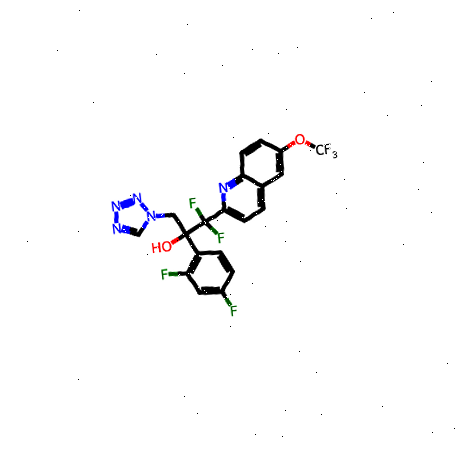 OC(Cn1cnnn1)(c1ccc(F)cc1F)C(F)(F)c1ccc2cc(OC(F)(F)F)ccc2n1